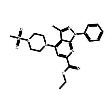 CCOC(=O)c1cc(N2CCN(S(C)(=O)=O)CC2)c2c(C)nn(-c3ccccc3)c2n1